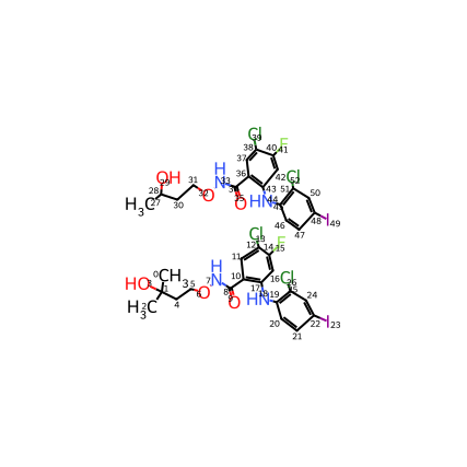 CC(C)(O)CCONC(=O)c1cc(Cl)c(F)cc1Nc1ccc(I)cc1Cl.CC(O)CCONC(=O)c1cc(Cl)c(F)cc1Nc1ccc(I)cc1Cl